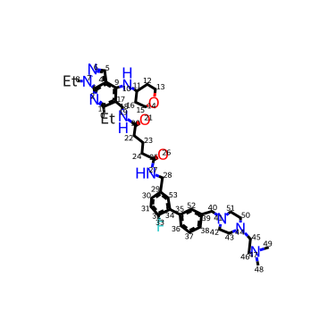 CCc1nc2c(cnn2CC)c(NC2CCOCC2)c1CNC(=O)CCCC(=O)NCc1ccc(F)c(-c2cccc(CN3CCN(CCN(C)C)CC3)c2)c1